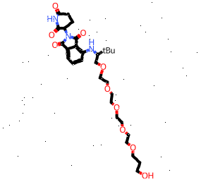 CC(C)(C)C(COCCOCCOCCOCCOCCCO)Nc1cccc2c1C(=O)N(C1CCC(=O)NC1=O)C2=O